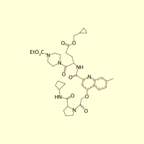 CCOC(=O)N1CCN(C(=O)C(CCC(=O)OCC2CC2)NC(=O)c2cc(OCC(=O)N3CCCC3C(=O)NC3CCC3)c3ccc(C)cc3n2)CC1